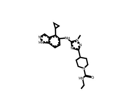 CCNC(=O)N1CCC(c2nc(Nc3ccc4[nH]ncc4c3C3CC3)n(C)n2)CC1